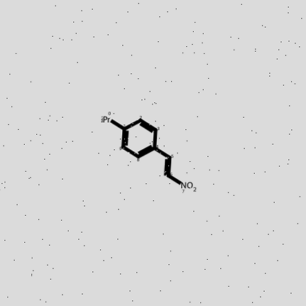 CC(C)c1ccc(/C=C/[N+](=O)[O-])cc1